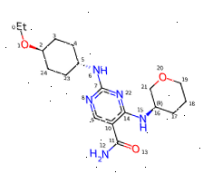 CCO[C@H]1CC[C@H](Nc2ncc(C(N)=O)c(N[C@@H]3CCCOC3)n2)CC1